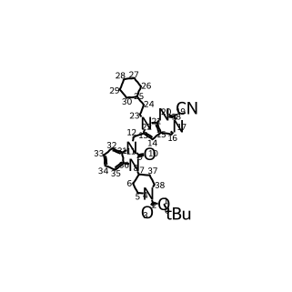 CC(C)(C)OC(=O)N1CCC(n2c(=O)n(Cc3cc4cnc(C#N)nc4n3CCC3CCCCC3)c3ccccc32)CC1